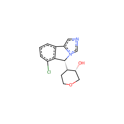 O[C@@H]1COCCC1[C@@H]1c2c(Cl)cccc2-c2cncn21